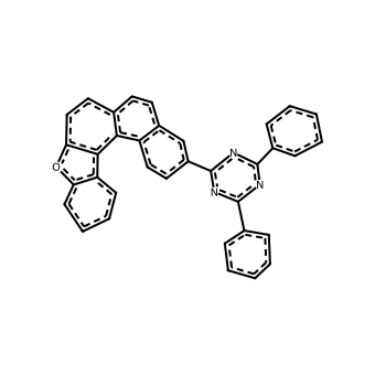 c1ccc(-c2nc(-c3ccccc3)nc(-c3ccc4c(ccc5ccc6oc7ccccc7c6c54)c3)n2)cc1